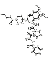 CCCCC(=O)N1CCN(c2nc(NC(=O)[C@H]3CCCN3C(=S)C(C)CC(=O)c3ccccc3)c3cc(OC)c(OC)cc3n2)CC1